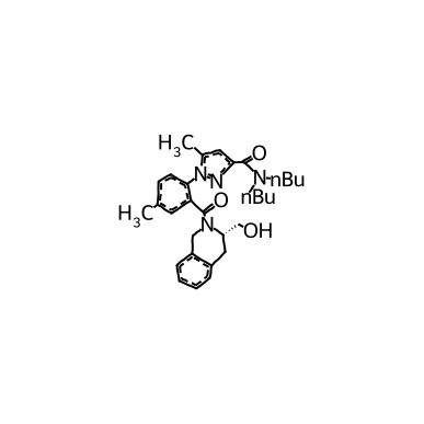 CCCCN(CCCC)C(=O)c1cc(C)n(-c2ccc(C)cc2C(=O)N2Cc3ccccc3C[C@H]2CO)n1